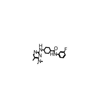 Cc1cnc(NC2CCC(C(=O)Nc3cccc(F)c3)CC2)nc1N(C)C